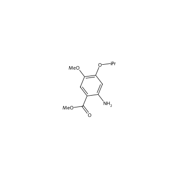 COC(=O)c1cc(OC)c(OC(C)C)cc1N